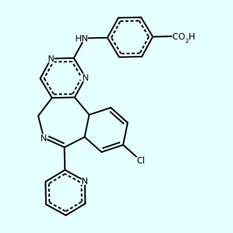 O=C(O)c1ccc(Nc2ncc3c(n2)C2C=CC(Cl)=CC2C(c2ccccn2)=NC3)cc1